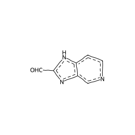 O=Cc1nc2cnccc2[nH]1